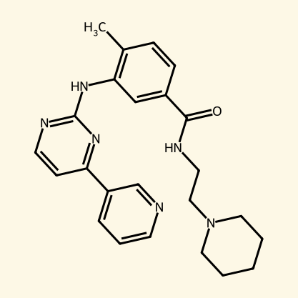 Cc1ccc(C(=O)NCCN2CCCCC2)cc1Nc1nccc(-c2cccnc2)n1